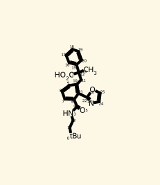 CC(C)(C)CCNC(=O)c1cccc(CC(C)(C(=O)O)c2ccccc2)c1-c1ncco1